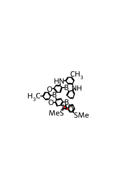 CSc1cc2c3c(c1)N(SC)c1cc4c(cc1B3c1ccccc1O2)B1c2cc3c(cc2Oc2cc(C)cc(c21)O4)Nc1cc(C)cc2c1B3c1ccccc1N2